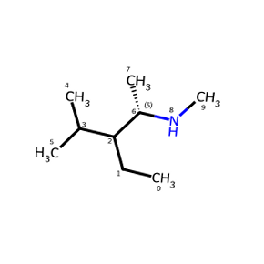 CCC(C(C)C)[C@H](C)NC